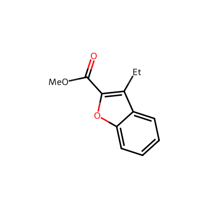 CCc1c(C(=O)OC)oc2ccccc12